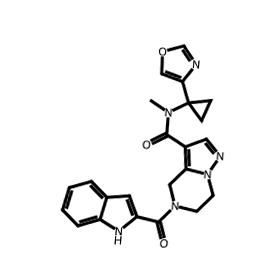 CN(C(=O)c1cnn2c1CN(C(=O)c1cc3ccccc3[nH]1)CC2)C1(c2cocn2)CC1